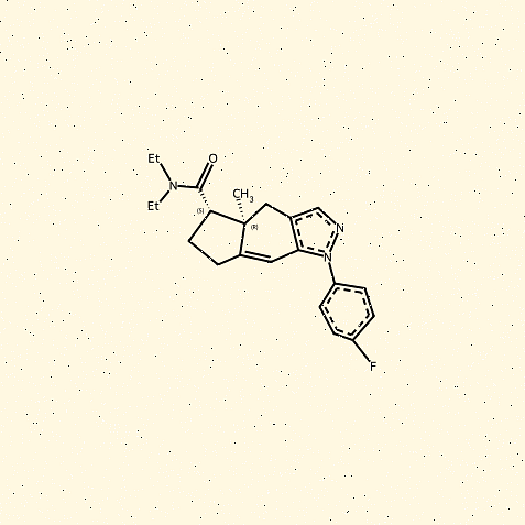 CCN(CC)C(=O)[C@H]1CCC2=Cc3c(cnn3-c3ccc(F)cc3)C[C@@]21C